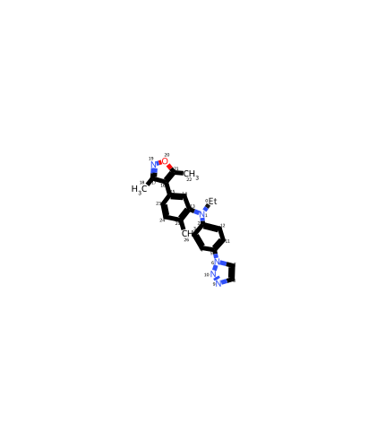 CCN(c1ccc(-n2ccnn2)cc1)c1cc(-c2c(C)noc2C)ccc1C